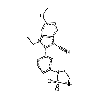 CCn1c(-c2cccc(N3CCNS3(=O)=O)c2)c(C#N)c2ccc(OC)cc21